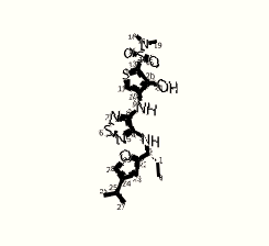 CC[C@@H](Nc1nsnc1Nc1csc(S(=O)(=O)N(C)C)c1O)c1cc(C(C)C)co1